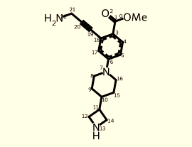 COC(=O)c1ccc(N2CCC(C3CNC3)CC2)cc1C#CCN